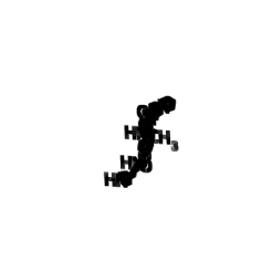 CN1c2cc(N3Cc4cc(N5CCCCC5)ccc4C3=O)ccc2NC1c1ccc(OCC(=O)NCCCC2=CCNC=C2)cc1